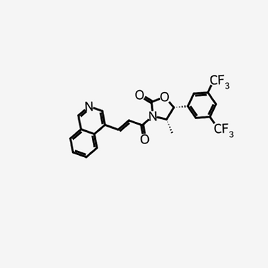 C[C@H]1[C@@H](c2cc(C(F)(F)F)cc(C(F)(F)F)c2)OC(=O)N1C(=O)/C=C/c1cncc2ccccc12